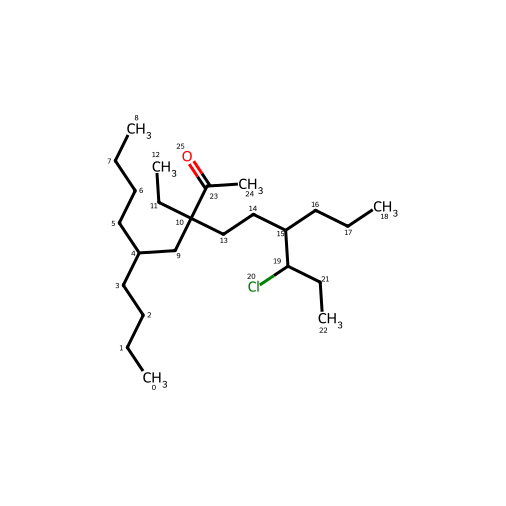 CCCCC(CCCC)CC(CC)(CCC(CCC)C(Cl)CC)C(C)=O